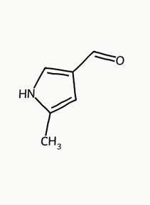 Cc1cc(C=O)c[nH]1